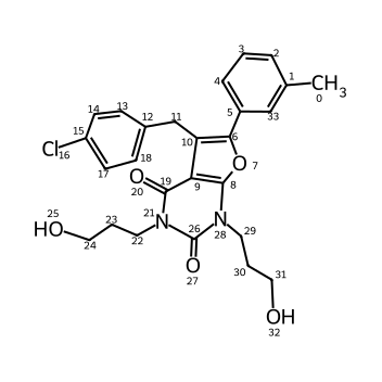 Cc1cccc(-c2oc3c(c2Cc2ccc(Cl)cc2)c(=O)n(CCCO)c(=O)n3CCCO)c1